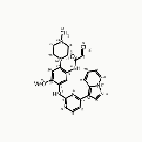 C=CC(=O)Nc1cc(Nc2nccc(-c3cnn4ccccc34)n2)c(OC)cc1N1CCN(C)CC1